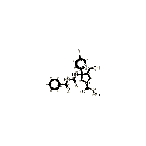 CC(C)(C)OC(=O)N1CC(CO)C(NC(=S)NC(=O)c2ccccc2)(c2ccc(F)cn2)C1